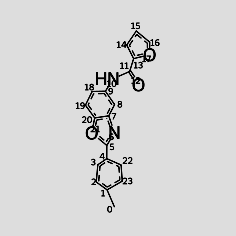 Cc1ccc(-c2nc3cc(NC(=O)c4ccco4)ccc3o2)cc1